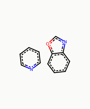 c1ccc2ocnc2c1.c1ccncc1